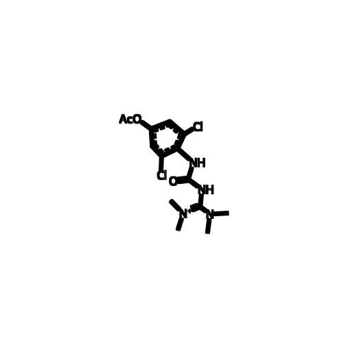 CC(=O)Oc1cc(Cl)c(NC(=O)NC(N(C)C)=[N+](C)C)c(Cl)c1